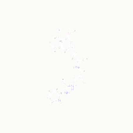 COc1cc(/C=C/C(=O)NCC(C)CNC(=S)Nc2ccccn2)cc(OC)c1OC